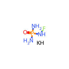 NP(N)(=O)NF.[KH]